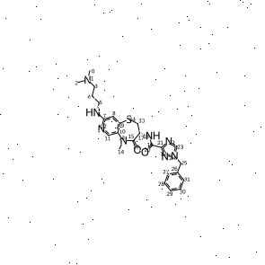 CN(C)CCCNc1cc2c(cn1)N(C)C(=O)[C@@H](NC(=O)c1ncn(Cc3ccccc3)n1)CS2